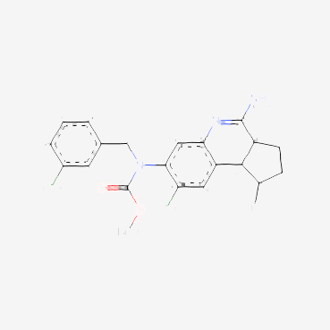 CCC1CCC2C(N)=Nc3cc(N(Cc4cccc(Cl)c4)C(=O)OC(C)(C)C)c(Cl)cc3C12